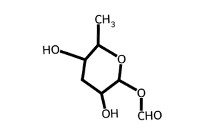 CC1OC(OC=O)C(O)CC1O